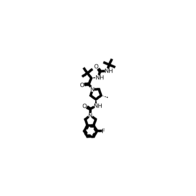 C[C@H]1CN(C(=O)[C@@H](NC(=O)NC(C)(C)C)C(C)(C)C)C[C@@H]1NC(=O)N1Cc2cccc(F)c2C1